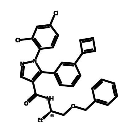 CC[C@H](COCc1ccccc1)NC(=O)c1cnn(-c2ccc(Cl)cc2Cl)c1-c1cccc(C2=CC=C2)c1